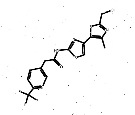 Cc1nc(CO)sc1-c1csc(NC(=O)Cc2ccc(C(F)(F)F)nc2)n1